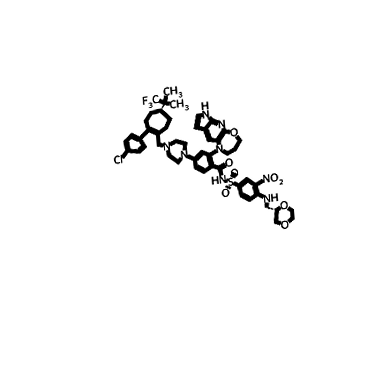 CC(C)([C@@H]1CCC(CN2CCN(c3ccc(C(=O)NS(=O)(=O)c4ccc(NC[C@H]5COCCO5)c([N+](=O)[O-])c4)c(N4CCCOc5nc6[nH]ccc6cc54)c3)CC2)=C(c2ccc(Cl)cc2)CC1)C(F)(F)F